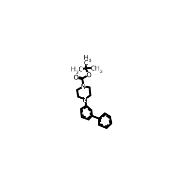 CC(C)(C)OC(=O)N1CCN(c2cccc(-c3ccccc3)c2)CC1